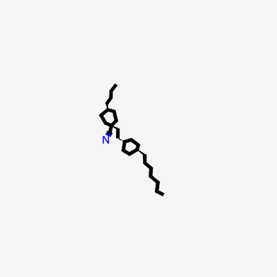 CCCCCCC[C@H]1CC[C@H](CC[C@]2(C#N)CC[C@H](CCCC)CC2)CC1